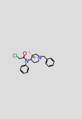 C[C@@H]1CN(Cc2ccccc2)CCC1N(C(=O)CCl)c1ccccc1